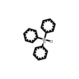 [Cl][SbH]([c]1ccccc1)([c]1ccccc1)[c]1ccccc1